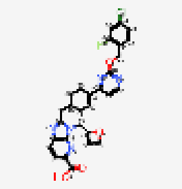 O=C(O)c1ccc2nc(CC3CC=C(c4ccnc(OCc5ccc(Cl)cc5F)n4)CC3)n(C[C@@H]3CCO3)c2n1